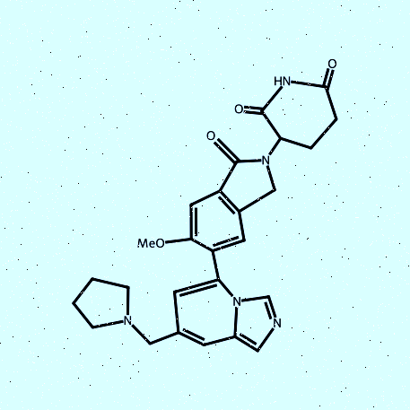 COc1cc2c(cc1-c1cc(CN3CCCC3)cc3cncn13)CN(C1CCC(=O)NC1=O)C2=O